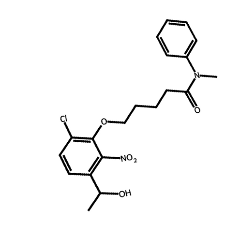 CC(O)c1ccc(Cl)c(OCCCCC(=O)N(C)c2ccccc2)c1[N+](=O)[O-]